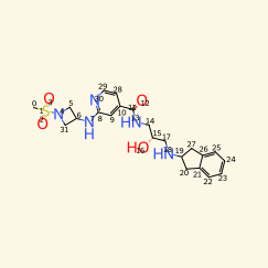 CS(=O)(=O)N1CC(Nc2cc(C(=O)NC[C@@H](O)CNC3Cc4ccccc4C3)ccn2)C1